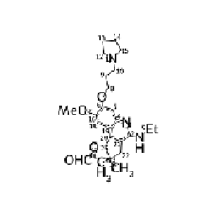 CCNc1nc2cc(OCCCN3CCCC3)c(OC)cc2c2c1CC(C)(C)C2OC=O